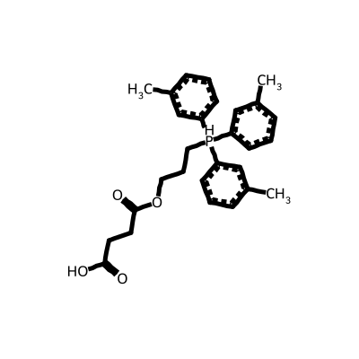 Cc1cccc([PH](CCCOC(=O)CCC(=O)O)(c2cccc(C)c2)c2cccc(C)c2)c1